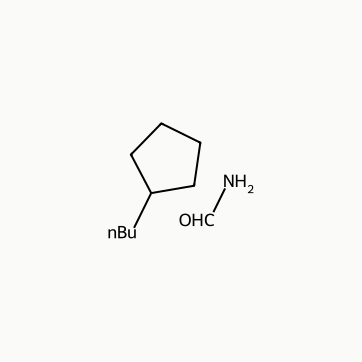 CCCCC1CCCC1.NC=O